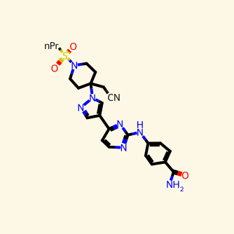 CCCS(=O)(=O)N1CCC(CC#N)(n2cc(-c3ccnc(Nc4ccc(C(N)=O)cc4)n3)cn2)CC1